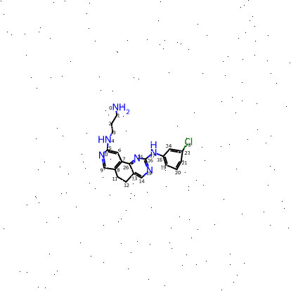 NCCCNc1cc2c(cn1)CCc1cnc(Nc3cccc(Cl)c3)nc1-2